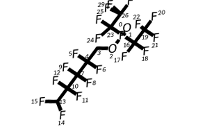 O=P(OCC(F)(F)C(F)(F)C(F)(F)C(F)F)(C(F)(F)C(F)(F)F)C(F)(F)C(F)(F)F